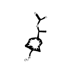 CC(OC(=O)Cl)c1ccc([N+](=O)[O-])cc1